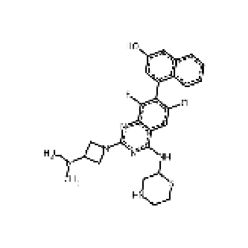 CN(C)C1CN(c2nc(NC3CNCCS3)c3cc(Cl)c(-c4cc(O)cc5ccccc45)c(F)c3n2)C1